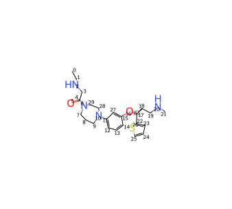 CCNCC(=O)N1CCCN(c2cccc(O[C@@H](CCNC)c3cccs3)c2)CC1